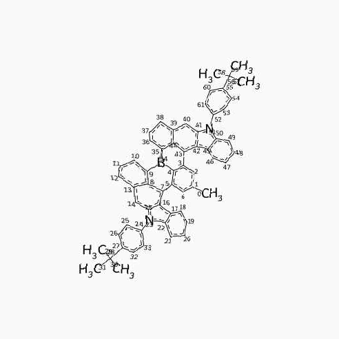 Cc1cc2c3c(c1)-c1c4c(cccc4cc4c1c1ccccc1n4-c1ccc(C(C)(C)C)cc1)B3c1cccc3cc4c(c-2c13)c1ccccc1n4-c1ccc(C(C)(C)C)cc1